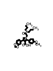 CCCCN(CCCC)C(=O)Cn1cc(-c2ccc3c(c2)OCO3)c(C(=O)O)c1-c1ccc(OC)cc1